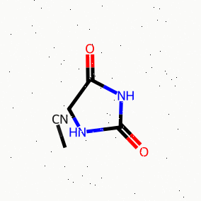 CC#N.O=C1CNC(=O)N1